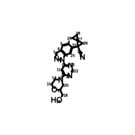 N#CC1(c2ccc3cnn(-c4cc(N5CCOC(CO)C5)ncn4)c3c2)CC12CC2